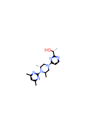 Cc1cc(C)nc(N2C(C)CN(c3ccnc([C@@H](C)O)n3)C[C@H]2C)n1